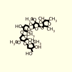 COC1CC(C)OC(C)C1OC1CC(OC)C(OC2CC(O)C(OC3CC(OC)C(OC4CC(CO)C(O)C(C)O4)C(C)O3)C(C)O2)C(C)O1